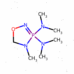 CN(C)P1(N(C)C)=NOCN1C